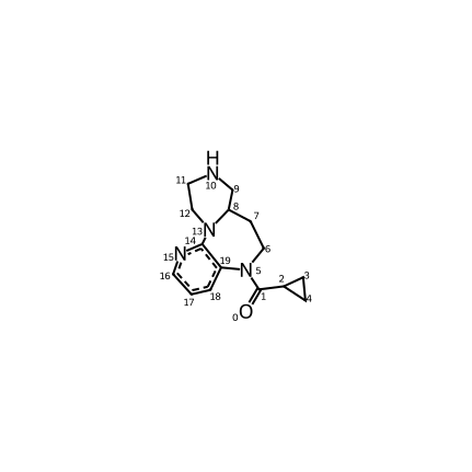 O=C(C1CC1)N1CCC2CNCCN2c2ncccc21